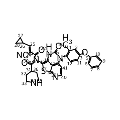 Cc1cc(Oc2ccccc2)ccc1N1C(=O)Nc2c(N(C(=O)/C(C#N)=C/C3CC3)C(=O)C3CCNCC3)sc3nccc1c23